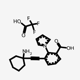 NC1(C#Cc2cccc(C(=O)O)c2-n2cccc2)CCCCC1.O=C(O)C(F)(F)F